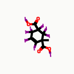 CC1(C(=O)OI)C(I)=C(I)C(I)(I)C(I)(C(=O)OI)C1(I)I